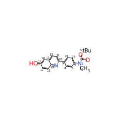 CN(C(=O)OC(C)(C)C)c1ccc(-c2ccc3cc(O)ccc3n2)cc1